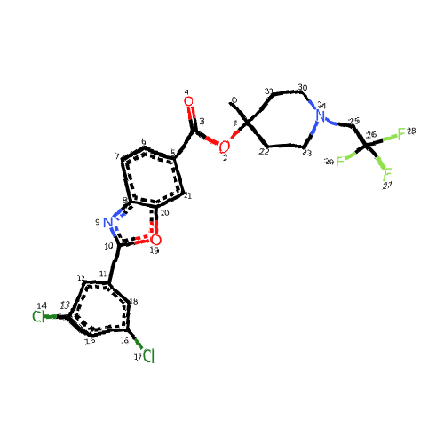 CC1(OC(=O)c2ccc3nc(-c4cc(Cl)cc(Cl)c4)oc3c2)CCN(CC(F)(F)F)CC1